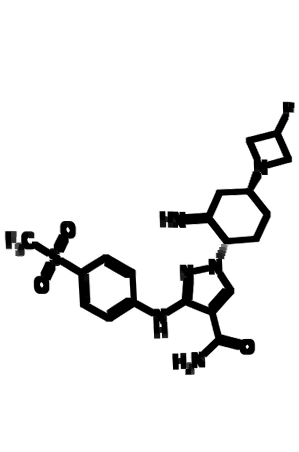 N=C1C[C@@H](N2CC(F)C2)CC[C@@H]1n1cc(C(N)=O)c(Nc2ccc(S(=O)(=O)C(F)(F)F)cc2)n1